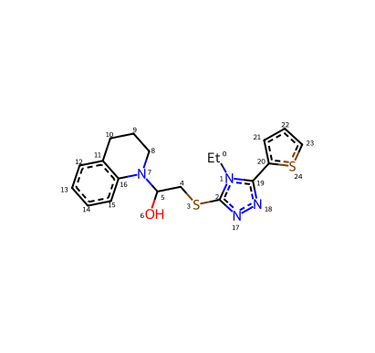 CCn1c(SCC(O)N2CCCc3ccccc32)nnc1-c1cccs1